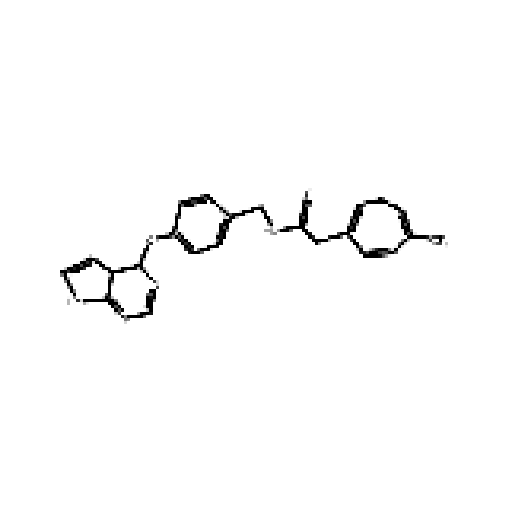 O=C(CC1=CCC=C(C(F)(F)F)C=C1)NCc1ccc(OC2N=CN=C3NC=CC32)cc1